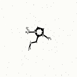 CCOCc1n(N)cc[n+]1N.[Cl-]